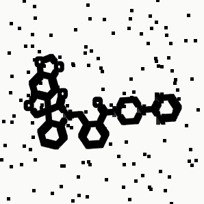 O=C(c1ccccc1CN1C(=O)C2(COc3cc4c(cc32)OCO4)c2ccccc21)N1CCN(c2ncccn2)CC1